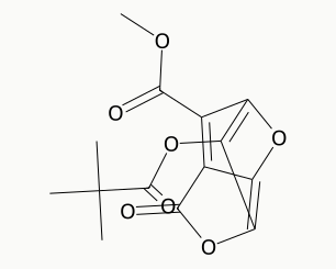 COC(=O)c1c2c3oc1c(OC(=O)C(C)(C)C)c3OC2=O